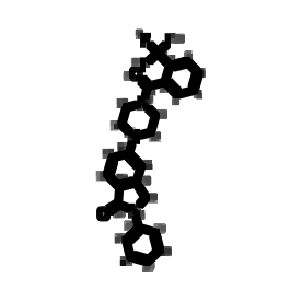 O=C(c1ccccc1C(F)(F)F)N1CCN(c2ccc3c(c2)CN(c2ccccc2)C3=O)CC1